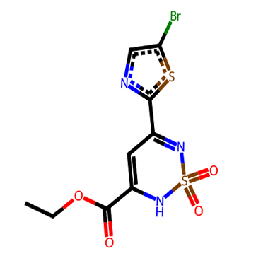 CCOC(=O)C1=CC(c2ncc(Br)s2)=NS(=O)(=O)N1